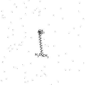 CCC(C)CC=CCCCCCCCCCCCCCC(=O)OC